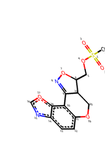 CS(=O)(=O)OCC1ON=C2c3c(ccc4ncoc34)OCC21